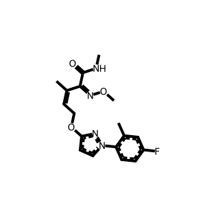 CNC(=O)C(=NOC)C(C)=CCOc1ccn(-c2ccc(F)cc2C)n1